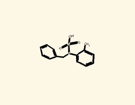 Cc1ccccc1N(Cc1ccccc1)S(=O)(=O)O